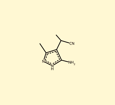 Cc1n[nH]c(N)c1C(C)C#N